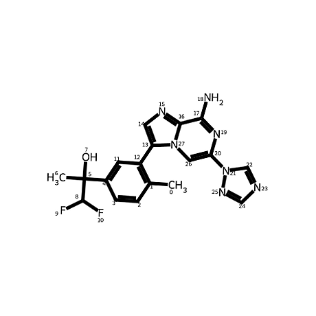 Cc1ccc(C(C)(O)C(F)F)cc1-c1cnc2c(N)nc(-n3cncn3)cn12